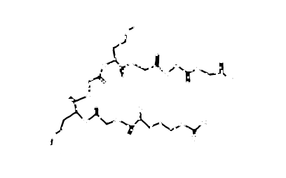 CSCCC(NC(=O)CNC(=O)C(N)CCCNC(=N)N)C(=O)NCC(=O)NC(CCSC)C(=O)NCC(=O)NCC(=O)NCC(=O)O